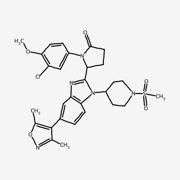 COc1ccc(N2C(=O)CCC2c2nc3cc(-c4c(C)noc4C)ccc3n2C2CCN(S(C)(=O)=O)CC2)cc1Cl